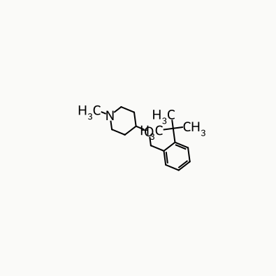 CN1CCC(OCc2ccccc2C(C)(C)C)CC1